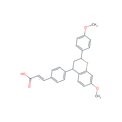 COc1ccc(C2CC(c3ccc(/C=C/C(=O)O)cc3)c3ccc(OC)cc3S2)cc1